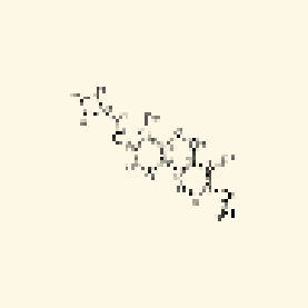 CCOc1ccc2c(c1F)OCc1c-2ccc(OCC2CCC2)c1F